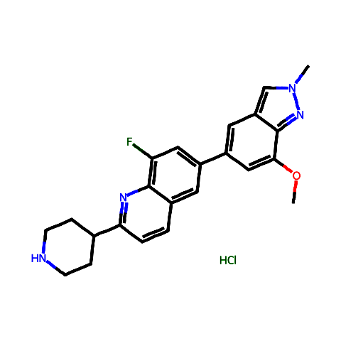 COc1cc(-c2cc(F)c3nc(C4CCNCC4)ccc3c2)cc2cn(C)nc12.Cl